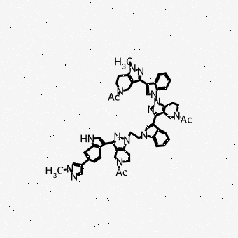 CC(=O)N1CCc2c(c(-c3cn(-n4nc(-c5cn(CCn6nc(-c7c[nH]c8cc(-c9cnn(C)c9)ccc78)c7c6CCN(C(C)=O)C7)c6ccccc56)c5c4CCN(C(C)=O)C5)c4ccccc34)nn2C)C1